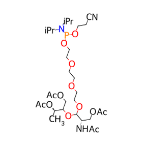 CC(=O)N[C@@H](COC(C)=O)C(OCCOCCOCCOP(OCCC#N)N(C(C)C)C(C)C)OC(COC(C)=O)[C@@H](C)OC(C)=O